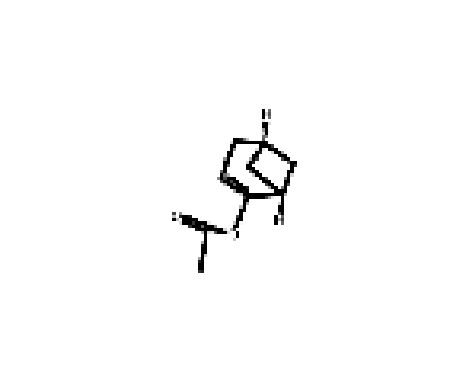 CC(=O)OC1=CC[C@H]2C[C@@H]1C2